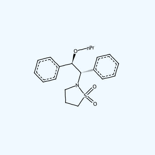 CCCO[C@H](c1ccccc1)[C@H](c1ccccc1)N1CCCS1(=O)=O